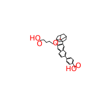 O=C(O)CCCCOc1cc2ccc(-c3ccc(C(=O)O)cc3)cc2cc1C12CC3CC(CC(C3)C1)C2